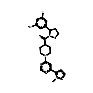 Cn1nccc1-c1cc(N2CCC(C(=O)N3OCCC3c3cc(F)cc(C#N)c3)CC2)ncn1